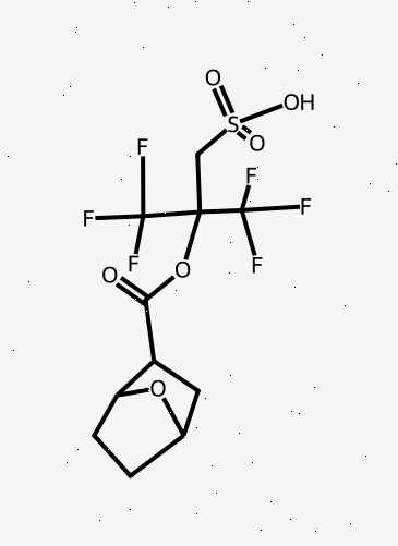 O=C(OC(CS(=O)(=O)O)(C(F)(F)F)C(F)(F)F)C1CC2CCC1O2